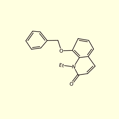 CCn1c(=O)ccc2cccc(OCc3ccccc3)c21